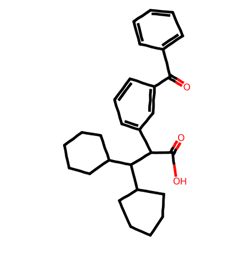 O=C(c1ccccc1)c1cccc(C(C(=O)O)C(C2CCCCC2)C2CCCCC2)c1